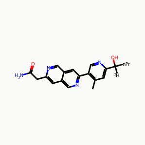 [2H]C(O)(CCC)c1cc(C)c(-c2cc3cnc(CC(N)=O)cc3cn2)cn1